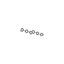 c1ccc(-c2ccc(-c3ccc4cc(-c5ccc(-c6cccnc6)cc5)cnc4c3)cc2)cc1